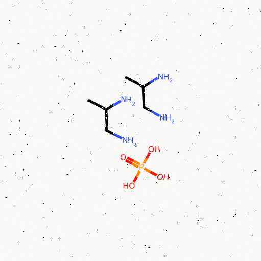 CC(N)CN.CC(N)CN.O=P(O)(O)O